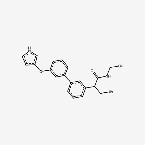 CC(C)CC(C(=O)NCC#N)c1cccc(-c2cccc(Oc3cc[nH]c3)c2)c1